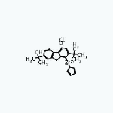 CC(C)(C)c1ccc2c(c1)Cc1c-2ccc(C(C)(C)C)[c]1[Zr+2][CH]1C=CC=C1.[Cl-].[Cl-]